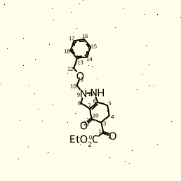 CCOC(=O)C(=O)C1CCC2=C(CN(COCc3ccccc3)N2)C1=O